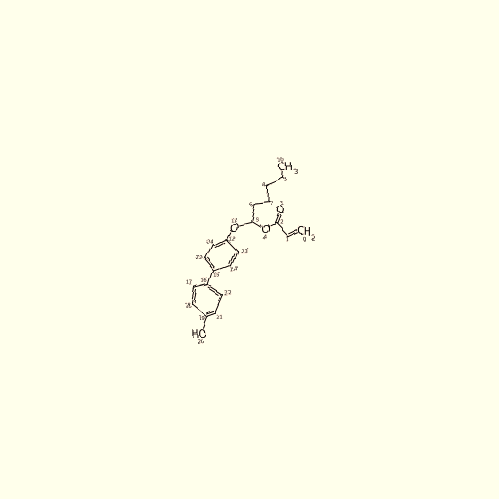 C=CC(=O)OC(CCCCC)Oc1ccc(-c2ccc(O)cc2)cc1